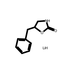 O=C1NCC(Cc2ccccc2)O1.[LiH]